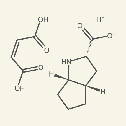 O=C(O)/C=C\C(=O)O.O=C([O-])[C@@H]1C[C@@H]2CCC[C@@H]2N1.[H+]